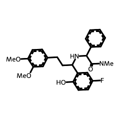 CNC(=O)C(NC(CCc1ccc(OC)c(OC)c1)c1cc(F)ccc1O)c1ccccc1